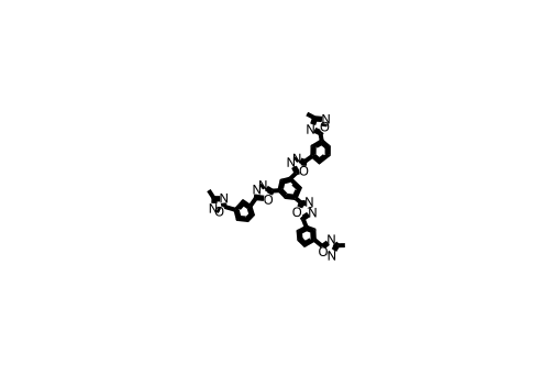 Cc1noc(-c2cccc(-c3nnc(-c4cc(-c5nnc(-c6cccc(-c7nc(C)no7)c6)o5)cc(-c5nnc(-c6cccc(-c7nc(C)no7)c6)o5)c4)o3)c2)n1